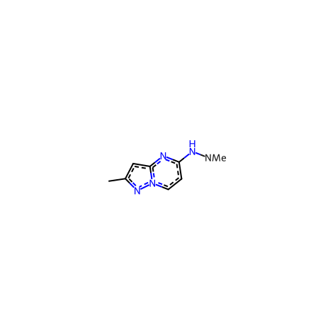 CNNc1ccn2nc(C)cc2n1